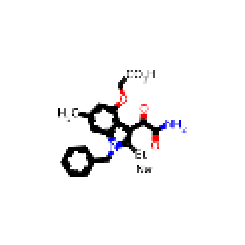 CCc1c(C(=O)C(N)=O)c2c(OCC(=O)O)cc(C)cc2n1Cc1ccccc1.[Na]